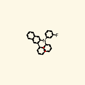 Fc1cccc(N(c2ccccc2)c2cc3ccccc3cc2-c2ccccc2)c1